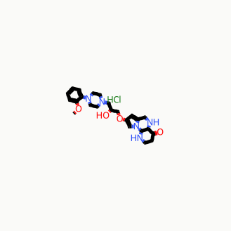 COc1ccccc1N1CCN(CC(O)COc2cc3n(c2)C2NCCC(=O)C2NC3)CC1.Cl